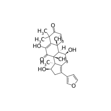 CC1(C)C(=O)C=C[C@@]2(C)C1=C(O)C(=O)[C@]1(C)[C@@H]2[C@@H](O)CC2=C(c3ccoc3)C[C@@H](O)[C@]21C